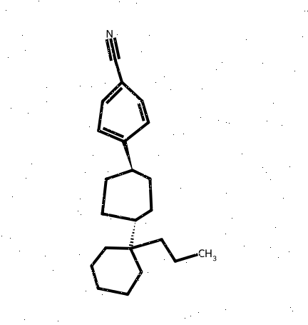 CCCC1([C@H]2CC[C@H](c3ccc(C#N)cc3)CC2)CCCCC1